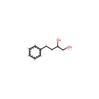 OC[C](O)CCc1ccccc1